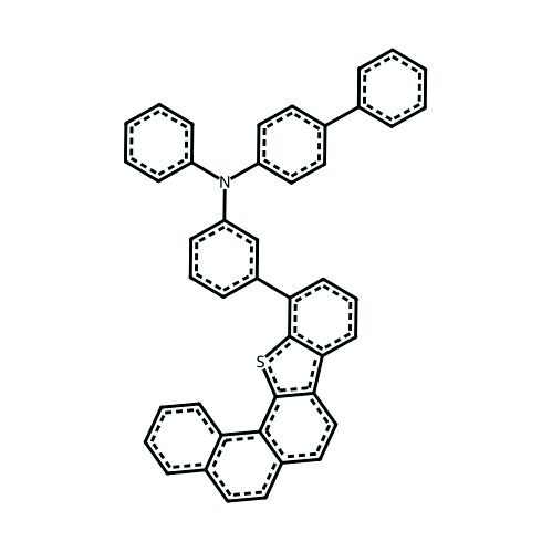 c1ccc(-c2ccc(N(c3ccccc3)c3cccc(-c4cccc5c4sc4c5ccc5ccc6ccccc6c54)c3)cc2)cc1